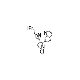 CC(C)CCn1cc(-c2ccc(Cl)nc2-c2ccc3cccnc3c2)cn1